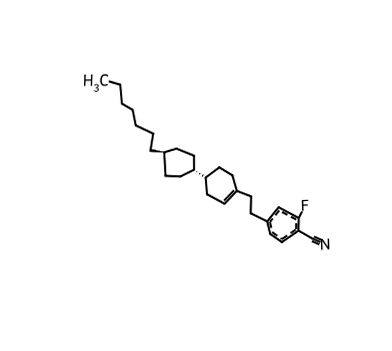 CCCCCCC[C@H]1CC[C@H](C2CC=C(CCc3ccc(C#N)c(F)c3)CC2)CC1